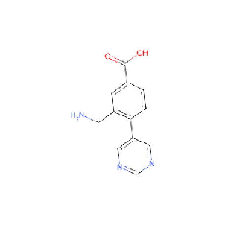 NCc1cc(C(=O)O)ccc1-c1cncnc1